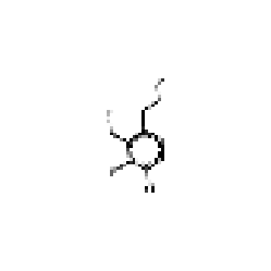 FCc1c(CCBr)ccc(Cl)c1F